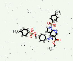 CCOC(=O)c1cnc2c(ccn2S(=O)(=O)c2ccc(C)cc2)c1N[C@H]1CC[C@H](COS(=O)(=O)c2ccc(C)cc2)CC1